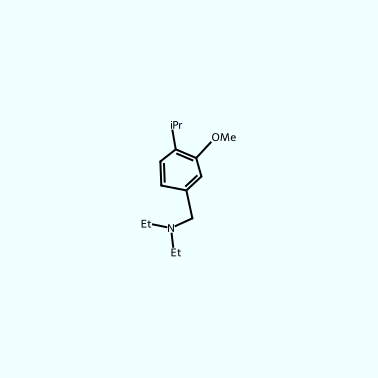 CCN(CC)Cc1ccc(C(C)C)c(OC)c1